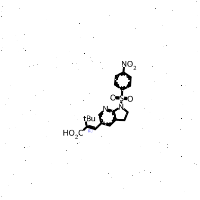 CC(C)(C)/C(=C\c1cnc2c(c1)CCN2S(=O)(=O)c1ccc([N+](=O)[O-])cc1)C(=O)O